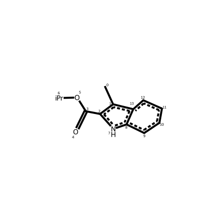 Cc1c(C(=O)OC(C)C)[nH]c2ccccc12